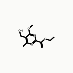 C=C(OCC)c1nc(C)c(CO)c(OC)n1